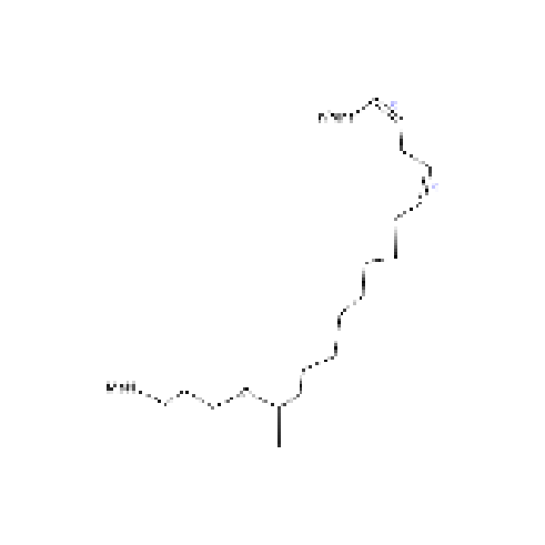 CCCCC/C=C\C/C=C\CCCCCCCCC(C)OCCCNC